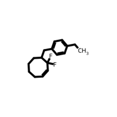 CCc1ccc(CC2CCCC/C=C\C2(F)F)cc1